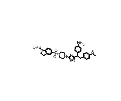 CN(C)c1ccc(CC(c2ccc(N)cc2)c2nsc(N3CCN(S(=O)(=O)c4ccc5c(c4)CCN5C=O)CC3)n2)cc1